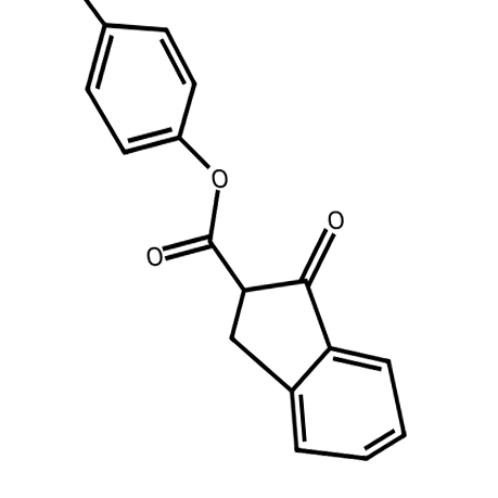 Cc1ccc(OC(=O)C2Cc3ccccc3C2=O)cc1